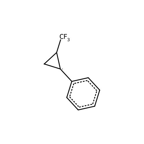 FC(F)(F)C1C[C]1c1ccccc1